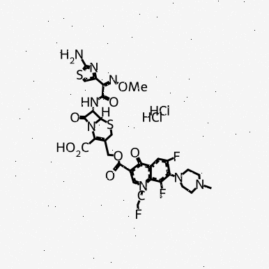 CO/N=C(\C(=O)N[C@@H]1C(=O)N2C(C(=O)O)=C(COC(=O)c3cn(CCF)c4c(F)c(N5CCN(C)CC5)c(F)cc4c3=O)CS[C@H]12)c1csc(N)n1.Cl.Cl